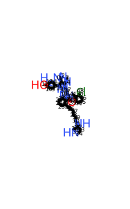 Nc1ncnc2c1c(-c1ccc(O)cc1)nn2Cc1nc2cccc(C#CCCCCNC3CCNC3)c2c(=O)n1Cc1ccccc1Cl